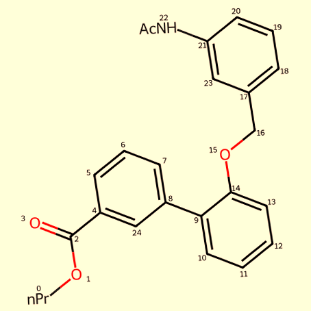 CCCOC(=O)c1cccc(-c2ccccc2OCc2cccc(NC(C)=O)c2)c1